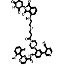 COc1cccc(F)c1-c1nccc(C(=O)Nc2ccc(-c3cnccc3C#N)cc2N2CCN(C(=O)CCOCCNc3cccc4c3C(=O)N(C3CCC(=O)NC3=O)C4=O)CC2)n1